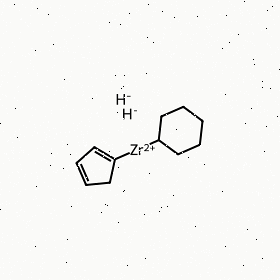 C1=CC[C]([Zr+2][CH]2CCCCC2)=C1.[H-].[H-]